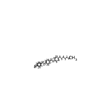 CCCCCCC[C@H]1CC[C@H](CCC2CC=C(CCc3ccc(F)cc3)CC2)CC1